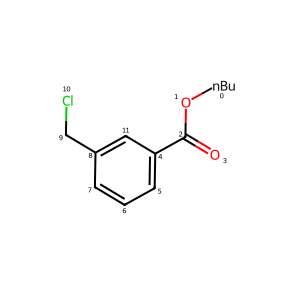 CCCCOC(=O)c1cccc(CCl)c1